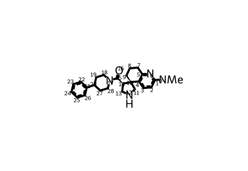 CNc1ccc2c(n1)CCC[C@]21CNC[C@H]1C(=O)N1CCC(c2ccccc2)CC1